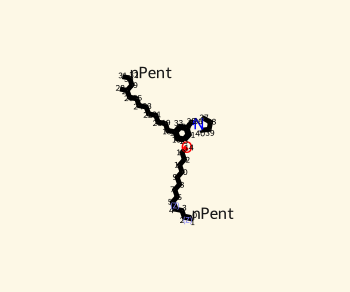 CCCCC/C=C\C/C=C\CCCCCCCCOc1cc(CCCCCCCCCC(C)CC(C)CCCCC)cc(CN2CCCC2)c1